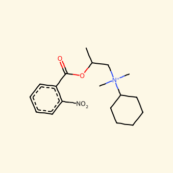 CC(C[N+](C)(C)C1CCCCC1)OC(=O)c1ccccc1[N+](=O)[O-]